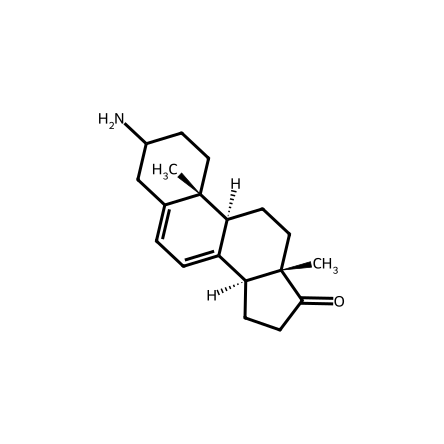 C[C@]12CCC(N)CC1=CC=C1[C@@H]2CC[C@]2(C)C(=O)CC[C@@H]12